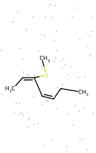 C/C=C(\C=C/CC)SC